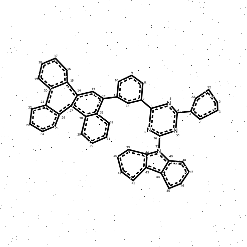 c1ccc(-c2nc(-c3cccc(-c4cc5c6ccccc6c6ccccc6c5c5ccccc45)c3)nc(-n3c4ccccc4c4ccccc43)n2)cc1